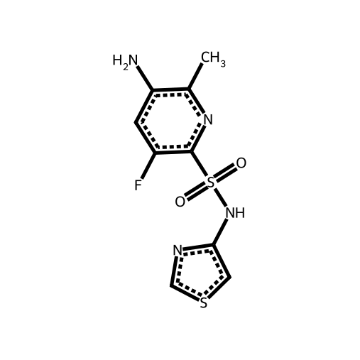 Cc1nc(S(=O)(=O)Nc2cscn2)c(F)cc1N